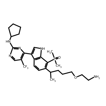 CC(CCCOCCN)c1ccc2c(-c3nc(NC4CCCC4)ncc3C(F)(F)F)c[nH]c2c1P(C)(C)=O